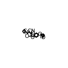 CC(Oc1ccc(Oc2ccon2)cc1)C(=O)C(C#N)C(=O)N1CCCC1